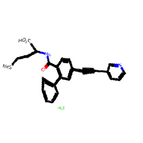 CSCCC(NC(=O)c1ccc(C#Cc2cccnc2)cc1-c1ccccc1)C(=O)O.Cl